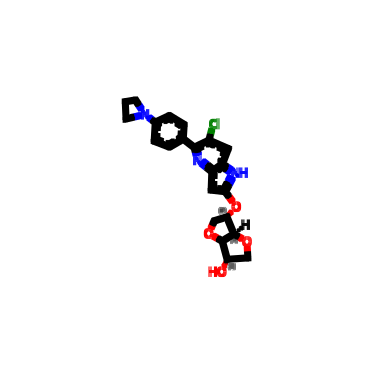 O[C@@H]1CO[C@H]2C1OC[C@H]2Oc1cc2nc(-c3ccc(N4CCC4)cc3)c(Cl)cc2[nH]1